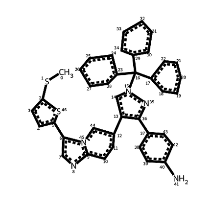 CSc1ccc(-c2cnc3ccc(-c4cn(C(c5ccccc5)(c5ccccc5)c5ccccc5)nc4-c4ccc(N)cc4)cn23)s1